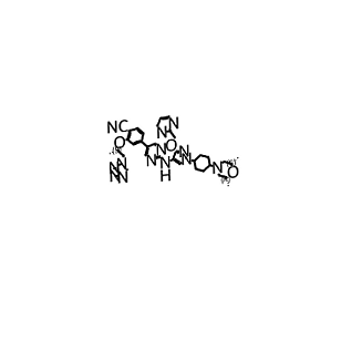 C[C@@H]1CN(C2CCC(n3cc(Nc4ncc(-c5ccc(C#N)c(O[C@@H](C)Cn6cnnn6)c5)cn4)c(OCc4ncccn4)n3)CC2)C[C@H](C)O1